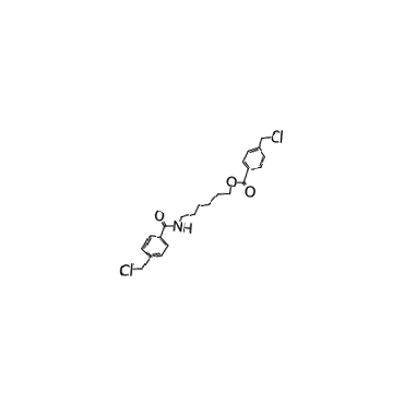 O=C(NCCCCCCOC(=O)c1ccc(CCl)cc1)c1ccc(CCl)cc1